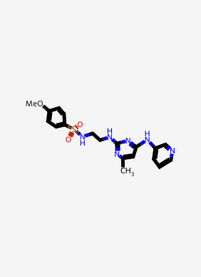 COc1ccc(S(=O)(=O)NCCNc2nc(C)cc(Nc3cccnc3)n2)cc1